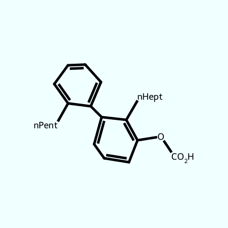 CCCCCCCc1c(OC(=O)O)cccc1-c1ccccc1CCCCC